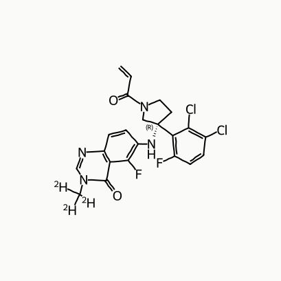 [2H]C([2H])([2H])n1cnc2ccc(N[C@@]3(c4c(F)ccc(Cl)c4Cl)CCN(C(=O)C=C)C3)c(F)c2c1=O